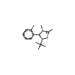 Cc1ccccc1C1C(C)N(C)CC1C(C)(C)C